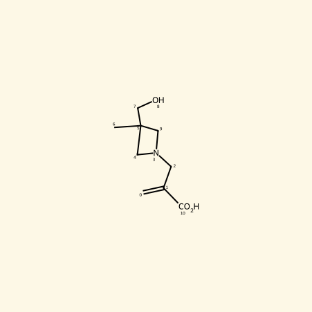 C=C(CN1CC(C)(CO)C1)C(=O)O